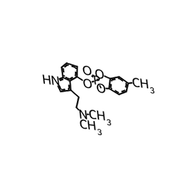 Cc1ccc2c(c1)OP(=O)(Oc1cccc3[nH]cc(CCN(C)C)c13)O2